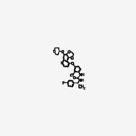 C[C@@H](NC(=O)Nc1ccc(Oc2ccnc3cc(OC4CCOCC4)c4c(c23)OCCO4)cc1Cl)c1ccc(F)cc1